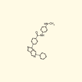 CNc1ccc(NC(=O)c2ccc(-c3ncc4cnc(-c5ccccc5)cn34)cc2)cc1